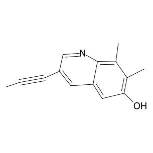 CC#Cc1cnc2c(C)c(C)c(O)cc2c1